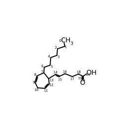 CCCCCCCC1C=CCC=CC1C=CCCCC(=O)O